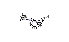 CCC(O)C(C)C1OC1CC(C)(O)/C=C/C=C(\C)C1OC(=O)CC(O)CCC(C)(O)C(OC(=O)N2CCN(CCN(C)C)CC2)/C=C/C1C